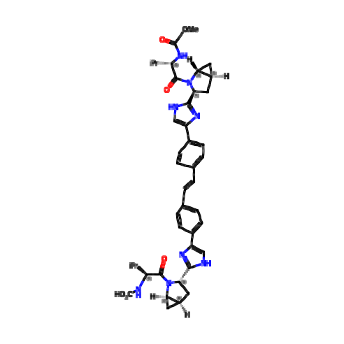 COC(=O)N[C@H](C(=O)N1[C@@H]2C[C@H]2C[C@H]1c1nc(-c2ccc(C=Cc3ccc(-c4c[nH]c([C@@H]5C[C@H]6C[C@H]6N5C(=O)[C@@H](NC(=O)O)C(C)C)n4)cc3)cc2)c[nH]1)C(C)C